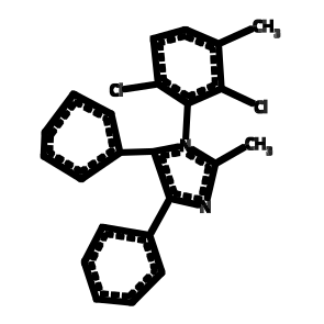 Cc1ccc(Cl)c(-n2c(C)nc(-c3ccccc3)c2-c2ccccc2)c1Cl